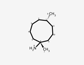 C[C@H]1CCCC[C@@](C)(N)CCC1